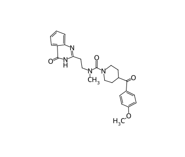 COc1ccc(C(=O)C2CCN(C(=O)N(C)CCc3nc4ccccc4c(=O)[nH]3)CC2)cc1